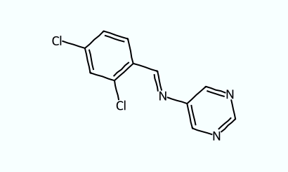 Clc1ccc(C=Nc2cncnc2)c(Cl)c1